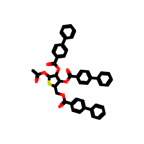 CC(=O)OC1SC(COC(=O)c2ccc(-c3ccccc3)cc2)C(OC(=O)c2ccc(-c3ccccc3)cc2)C1OC(=O)c1ccc(-c2ccccc2)cc1